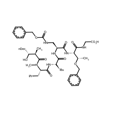 CCCCCCCCCC[C@@H](O)[C@@H](C)C(=O)N(C)[C@@H](CC(C)C)C(=O)N[C@H](C(=O)N[C@@H](CNC(=O)OCc1ccccc1)C(=O)N[C@H](C(=O)NCC(=O)O)[C@H](C)OCc1ccccc1)[C@H](C)CC